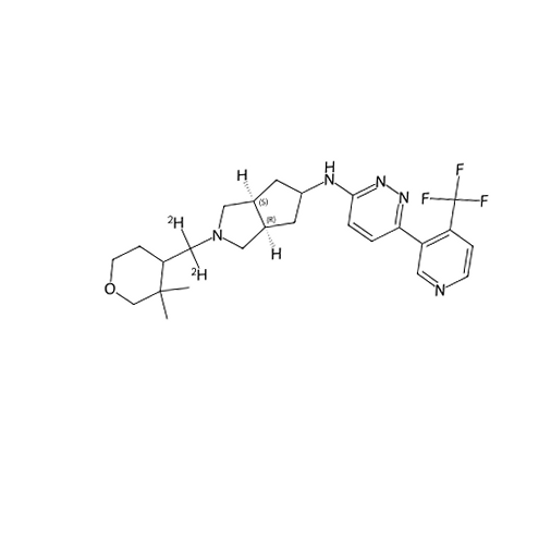 [2H]C([2H])(C1CCOCC1(C)C)N1C[C@H]2CC(Nc3ccc(-c4cnccc4C(F)(F)F)nn3)C[C@H]2C1